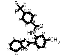 Cc1ccc(-c2nc3ccccc3s2)c(NC(=O)c2ccc(C(F)(F)F)cc2)c1